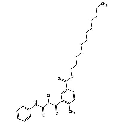 CCCCCCCCCCCCOC(=O)c1ccc(C)c(C(=O)C(Cl)C(=O)Nc2ccccc2)c1